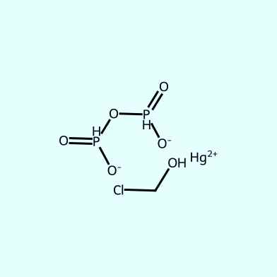 O=[PH]([O-])O[PH](=O)[O-].OCCl.[Hg+2]